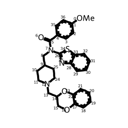 COc1ccc(C(=O)N(CC2CCN(CC3COc4ccccc4O3)CC2)c2nc3ccccc3s2)cc1